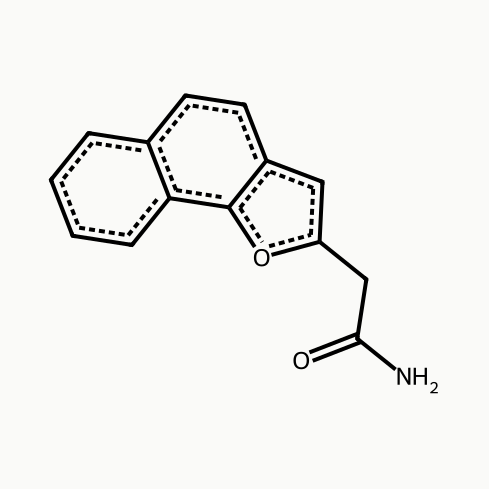 NC(=O)Cc1cc2ccc3ccccc3c2o1